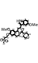 COc1ccc2[nH]cc(CCC3c4cc(OC)c(OCCS(C)(=O)=O)cc4CCN3C(=O)N3CCOCC3)c2c1